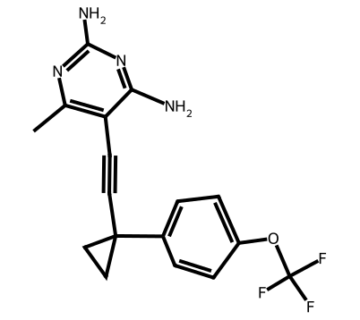 Cc1nc(N)nc(N)c1C#CC1(c2ccc(OC(F)(F)F)cc2)CC1